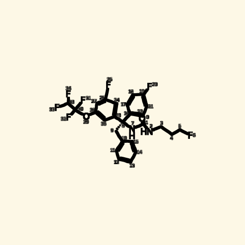 O=C(NCCCF)N[C@](Cc1ccccc1)(c1ccc(F)cc1)c1cc(F)cc(OC(F)(F)C(F)F)c1